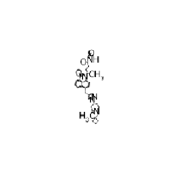 CC(CCC(=O)NC=O)N1C(=O)c2cccc3c(Cc4cnn(C5CCN(CC6(C)CCC6)CC5)c4)ccc1c23